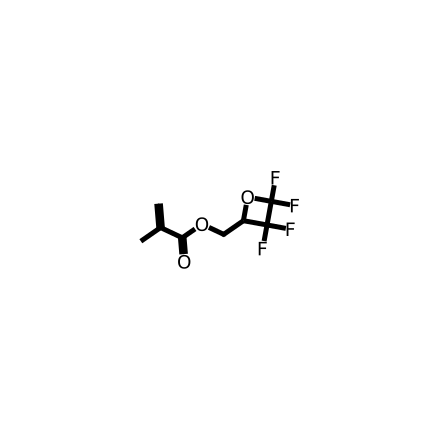 C=C(C)C(=O)OCC1OC(F)(F)C1(F)F